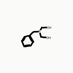 OCP(CO)Cc1ccccc1